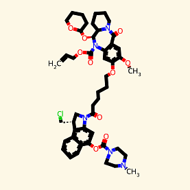 C=CCOC(=O)N1c2cc(OCCCCCC(=O)N3C[C@@H](CCl)c4c3cc(OC(=O)N3CCN(C)CC3)c3ccccc43)c(OC)cc2C(=O)N2CCCCC2[C@@H]1OC1CCCCO1